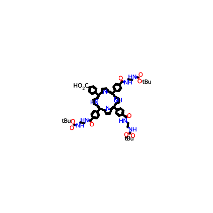 CC(C)(C)OC(=O)NCCNC(=O)c1ccc(-c2c3nc(c(-c4ccc(C(=O)NCCNC(=O)OC(C)(C)C)cc4)c4ccc([nH]4)c(-c4ccc(C(=O)NCCNC(=O)OC(C)(C)C)cc4)c4nc(c(-c5ccc(C(=O)O)cc5)c5ccc2[nH]5)C=C4)C=C3)cc1